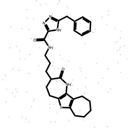 O=C(NCCCC1CCc2sc3c(c2NC1=O)CCCCC3)c1nnc(Cc2ccccc2)[nH]1